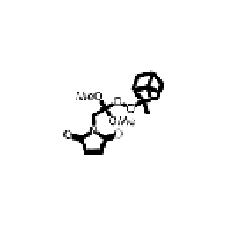 COC(CN1C(=O)C=CC1=O)(OC)OOC1(C)CCC2CC1C2(C)C